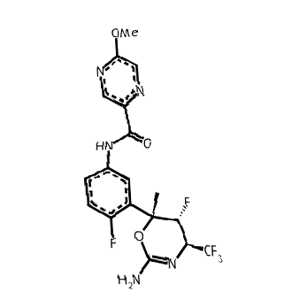 COc1cnc(C(=O)Nc2ccc(F)c([C@@]3(C)OC(N)=N[C@H](C(F)(F)F)[C@H]3F)c2)cn1